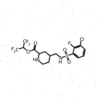 O=C(OC(C(F)(F)F)C(F)(F)F)C1CC(CNS(=O)(=O)c2cccc(Cl)c2F)CCN1